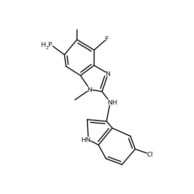 Cc1c(P)cc2c(nc(Nc3c[nH]c4ccc(Cl)cc34)n2C)c1F